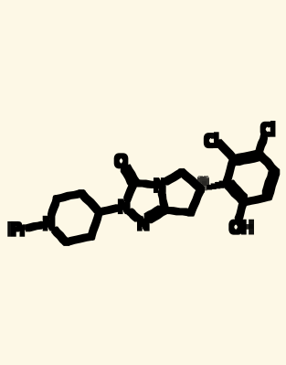 CC(C)N1CCC(n2nc3n(c2=O)C[C@H](c2c(O)ccc(Cl)c2Cl)C3)CC1